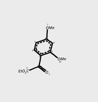 CCOC(=O)C(=O)c1ccc(OC)cc1OC